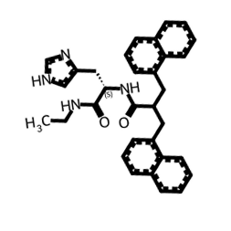 CCNC(=O)[C@H](Cc1c[nH]cn1)NC(=O)C(Cc1cccc2ccccc12)Cc1cccc2ccccc12